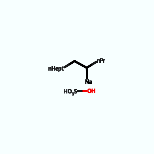 CCCCCCCC[CH]([Na])CCC.O=S(=O)(O)O